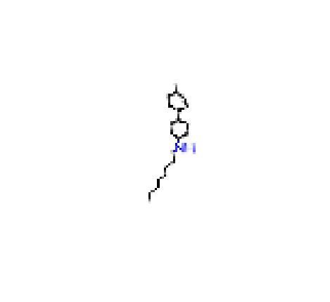 CCCCCCCCNc1ccc(-c2ccc(C)cc2)cc1